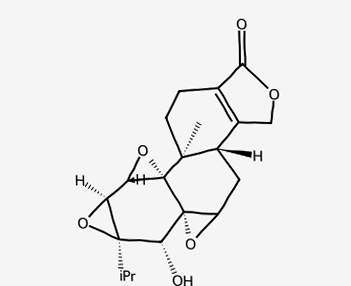 CC(C)[C@]12O[C@H]1[C@@H]1O[C@@]13[C@@]1(C)CCC4=C(COC4=O)[C@@H]1CC1O[C@@]13[C@@H]2O